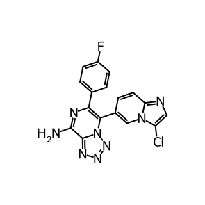 Nc1nc(-c2ccc(F)cc2)c(-c2ccc3ncc(Cl)n3c2)n2nnnc12